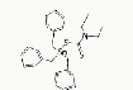 CCN(CC)C(=S)[S][Sn]([CH2]c1ccccc1)([CH2]c1ccccc1)[CH2]c1ccccc1